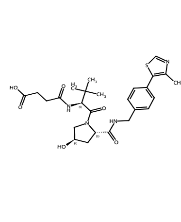 Cc1ncsc1-c1ccc(CNC(=O)[C@@H]2C[C@@H](O)CN2C(=O)[C@@H](NC(=O)CCC(=O)O)C(C)(C)C)cc1